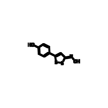 O/N=c1/cc(-c2ccc(O)cc2)ss1